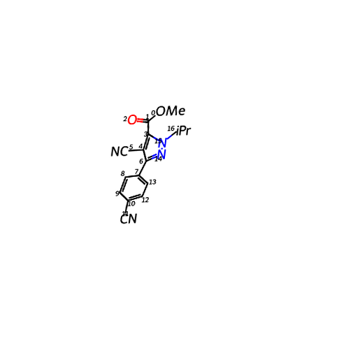 COC(=O)c1c(C#N)c(-c2ccc(C#N)cc2)nn1C(C)C